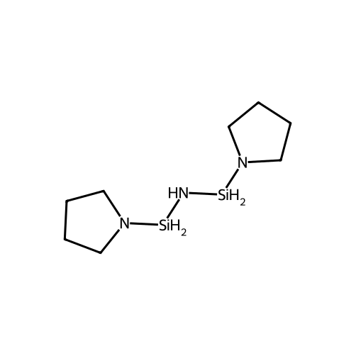 C1CCN([SiH2]N[SiH2]N2CCCC2)C1